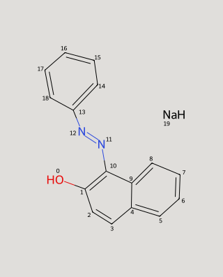 Oc1ccc2ccccc2c1N=Nc1ccccc1.[NaH]